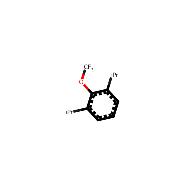 CC(C)c1cccc(C(C)C)c1OC(F)(F)F